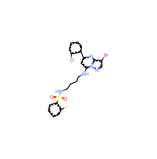 O=S(=O)(NCCCCNc1cc(-c2ccccc2Cl)nc2c(Br)cnn12)c1ccccc1F